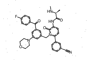 CN[C@@H](C)C(=O)Nc1ccc(-c2cccc(C#N)c2)n(Cc2cc(C(=O)c3ccc(F)cc3)cc(N3CCOCC3)c2)c1=O